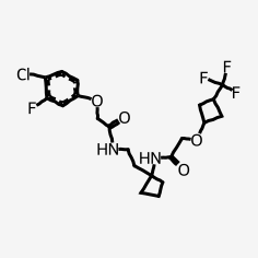 O=C(COc1ccc(Cl)c(F)c1)NCCC1(NC(=O)COC2CC(C(F)(F)F)C2)CCC1